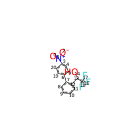 O=[N+]([O-])c1ccc(-c2ccccc2C(O)C(F)(F)F)cc1